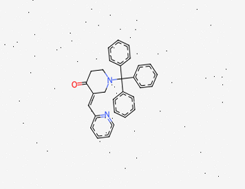 O=C1CCN(C(c2ccccc2)(c2ccccc2)c2ccccc2)C/C1=C\c1ccccn1